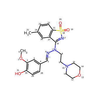 COc1cc(/C=N/N(CCN2CCOCC2)C2=NS(=O)(=O)c3ccc(C)cc32)ccc1O